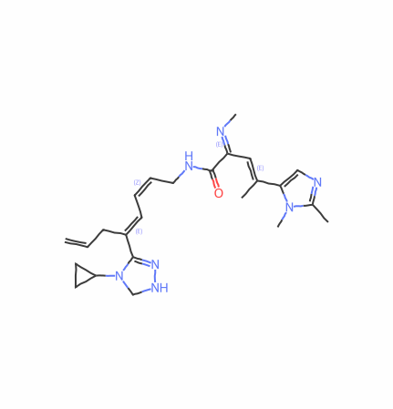 C=CC/C(=C\C=C/CNC(=O)C(/C=C(\C)c1cnc(C)n1C)=N/C)C1=NNCN1C1CC1